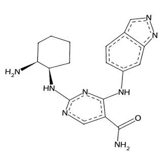 NC(=O)c1cnc(N[C@@H]2CCCC[C@@H]2N)nc1Nc1ccc2cn[nH]c2c1